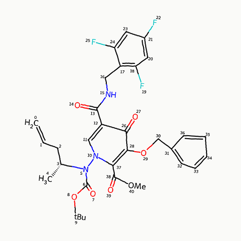 C=CC[C@@H](C)N(C(=O)OC(C)(C)C)n1cc(C(=O)NCc2c(F)cc(F)cc2F)c(=O)c(OCc2ccccc2)c1C(=O)OC